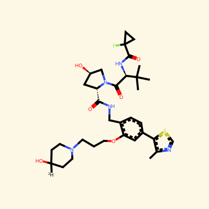 [2H]C1(O)CCN(CCCOc2cc(-c3scnc3C)ccc2CNC(=O)[C@@H]2C[C@@H](O)CN2C(=O)[C@@H](NC(=O)C2(F)CC2)C(C)(C)C)CC1